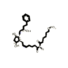 CCN(C(=O)CCC/C=C\C[C@@H]1[C@@H](/C=C/[C@@H](O)CCc2ccccc2)[C@H](O)C[C@@H]1O)C(=O)CCCCCO[N+](=O)[O-]